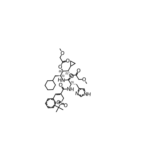 COCC(=O)O[C@H]([C@H](CC1CCCCC1)NC(=O)[C@H](Cc1c[nH]cn1)NC(=O)C(=Cc1ccccc1)CS(=O)(=O)C(C)(C)C)[C@@H](OC(=O)COC)C1CC1